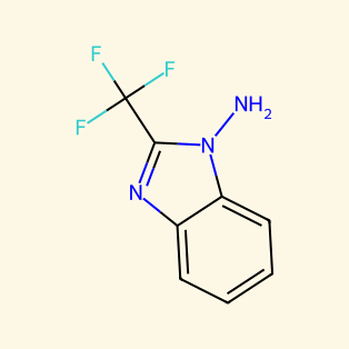 Nn1c(C(F)(F)F)nc2ccccc21